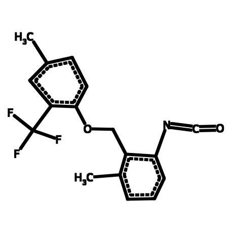 Cc1ccc(OCc2c(C)cccc2N=C=O)c(C(F)(F)F)c1